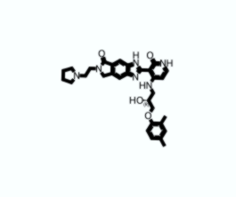 Cc1ccc(OC[C@H](O)CNc2cc[nH]c(=O)c2-c2nc3cc4c(cc3[nH]2)C(=O)N(CCN2CCCC2)C4)c(C)c1